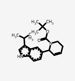 CC(C)c1c[nH]c2ccc(C3C=CCCN3C(=O)OC(C)(C)C)cc12